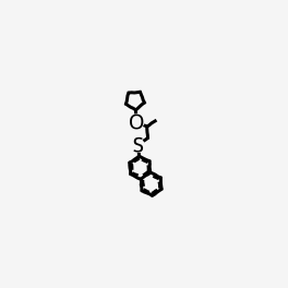 CC(CSc1ccc2ccccc2c1)OC1CCCC1